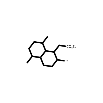 CCOC(=O)CC1C(CC)CCC2C(C)CCC(C)C21